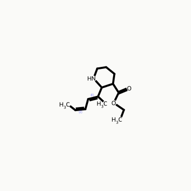 C/C=C\C=C(/C)C1NCCCC1C(=O)OCC